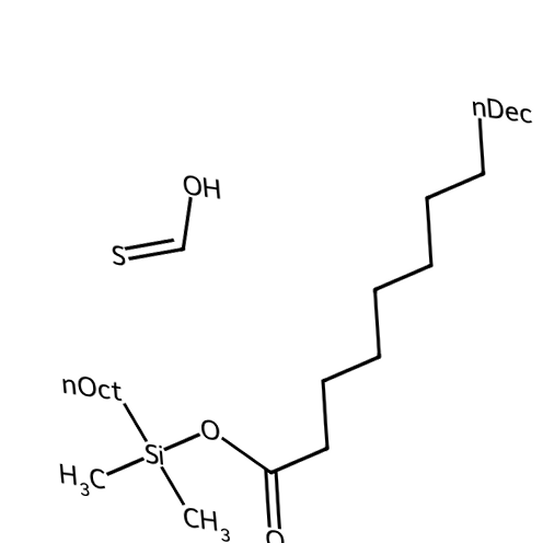 CCCCCCCCCCCCCCCCCC(=O)O[Si](C)(C)CCCCCCCC.OC=S